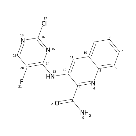 NC(=O)c1nc2ccccc2cc1Nc1nc(Cl)ncc1F